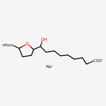 CCCCCC1CCC(C(O)CCCCCCCC(=O)[O-])O1.[Na+]